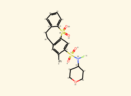 CC(C)c1cc2c(cc1S(=O)(=O)N(F)C1CCOCC1)S(=O)(=O)c1ccccc1CC2